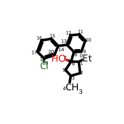 CCC1CC(C)CC1(O)c1ccccc1-c1cccc(Cl)c1